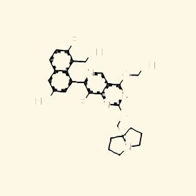 CCOc1nc(OC[C@@]23CCCN2C[C@H](F)C3)nc2c(F)c(-c3cc(O)cc4ccc(F)c(CC)c34)ncc12